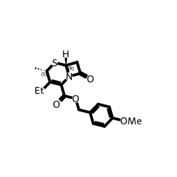 CCC1=C(C(=O)OCc2ccc(OC)cc2)N2C(=O)C[C@H]2S[C@H]1C